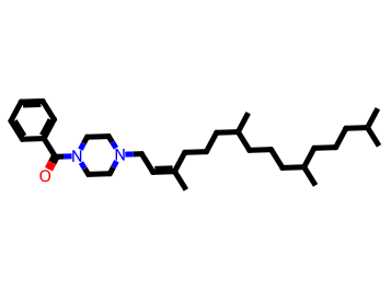 CC(=CCN1CCN(C(=O)c2ccccc2)CC1)CCCC(C)CCCC(C)CCCC(C)C